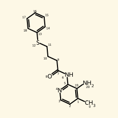 Cc1ccnc(NC(=O)CCCSc2ccccc2)c1N